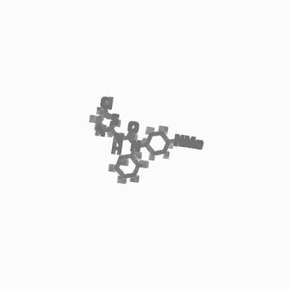 CNC1CCC(N(C(=O)Nc2ncc(Cl)s2)C2CCCCC2)CC1